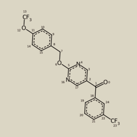 O=C(c1cnc(OCc2ccc(OC(F)(F)F)cc2)nc1)c1cccc(C(F)(F)F)c1